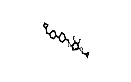 Fc1c(OCC2CC2)ccc(OCC2CCC(C3CCC(CC4CCC4)CC3)CC2)c1F